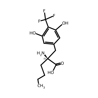 CCCC[C@](N)(Cc1cc(O)c(C(F)(F)F)c(O)c1)C(=O)O